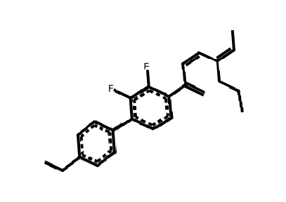 C=C(/C=C\C(=C/C)CCC)c1ccc(-c2ccc(CC)cc2)c(F)c1F